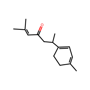 CC(C)=CC(=O)CC(C)C1=CC=C(C)CC1